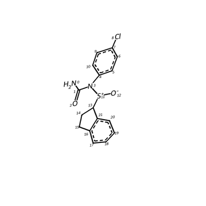 NC(=O)N(c1ccc(Cl)cc1)[S+]([O-])C1CCc2ccccc21